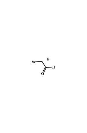 CCC(=O)CC(C)=O.[Ti]